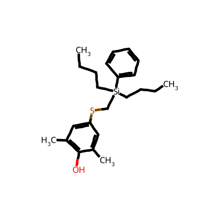 CCCC[Si](CCCC)(CSc1cc(C)c(O)c(C)c1)c1ccccc1